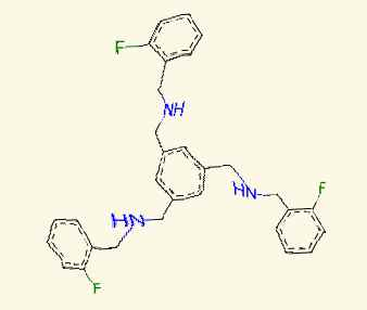 Fc1ccccc1CNCc1cc(CNCc2ccccc2F)cc(CNCc2ccccc2F)c1